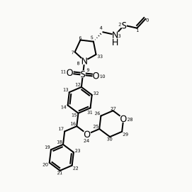 C=CSNC[C@H]1CCN(S(=O)(=O)c2ccc(C(Cc3ccccc3)OC3CCOCC3)cc2)C1